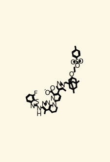 COC(=O)c1nc(N2CCCc3c2nnc(Nc2nc4cccc(F)c4s2)c3C)ccc1-c1cnn(CC23CC4(C)CC(C)(C2)CC(OCCOS(=O)(=O)c2ccc(C)cc2)(C4)C3)c1C